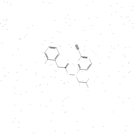 Cc1ccccc1CC(=O)NN(CC(C)C)c1ccnc(C#N)n1